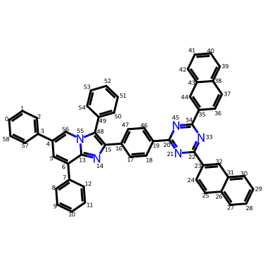 c1ccc(-c2cc(-c3ccccc3)c3nc(-c4ccc(-c5nc(-c6ccc7ccccc7c6)nc(-c6ccc7ccccc7c6)n5)cc4)c(-c4ccccc4)n3c2)cc1